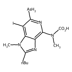 CCCCc1nc2c(N(C)C(=O)O)nc([AsH2])c(I)c2n1C